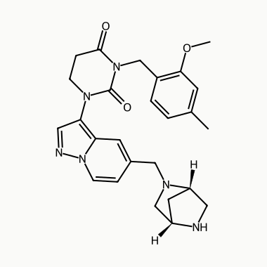 COc1cc(C)ccc1CN1C(=O)CCN(c2cnn3ccc(CN4C[C@@H]5C[C@H]4CN5)cc23)C1=O